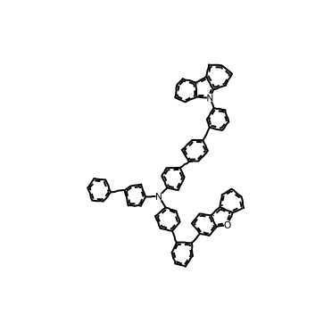 c1ccc(-c2ccc(N(c3ccc(-c4ccc(-c5cccc(-n6c7ccccc7c7ccccc76)c5)cc4)cc3)c3ccc(-c4ccccc4-c4ccc5c(c4)oc4ccccc45)cc3)cc2)cc1